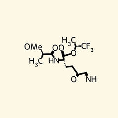 CO[C@H](C)C(=O)N[C@@H](CCC(=O)C=N)C(=O)O[C@@H](C)C(F)(F)F